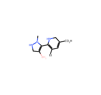 BC1=C(C2=C(CC)C=C(C(=O)O)CN2)N(C)NC1